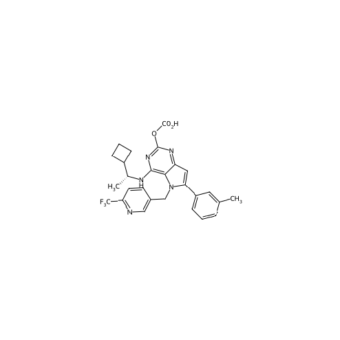 Cc1cccc(-c2cc3nc(OC(=O)O)nc(N[C@H](C)C4CCC4)c3n2Cc2ccc(C(F)(F)F)nc2)c1